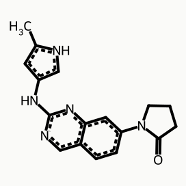 Cc1cc(Nc2ncc3ccc(N4CCCC4=O)cc3n2)c[nH]1